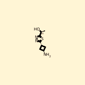 C[C@H](O)c1nnc([C@H]2C[C@@H](N)C2)s1